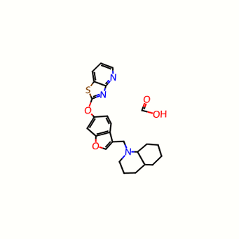 O=CO.c1cnc2nc(Oc3ccc4c(CN5CCCC6CCCCC65)coc4c3)sc2c1